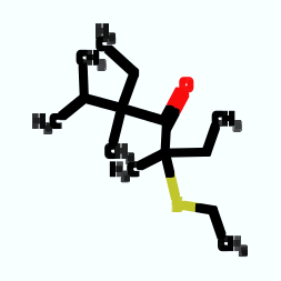 CCSC(C)(CC)C(=O)C(C)(CC)C(C)C